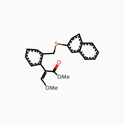 COC=C(C(=O)OC)c1ccccc1CSc1ccc2ccccc2c1